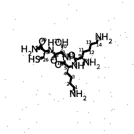 NCCCC[C@H](NC(=O)[C@@H](N)CCCCN)C(=O)N[C@@H](CO)C(=O)N[C@@H](CS)C(N)=O